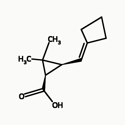 CC1(C)[C@H](C(=O)O)[C@@H]1C=C1CCC1